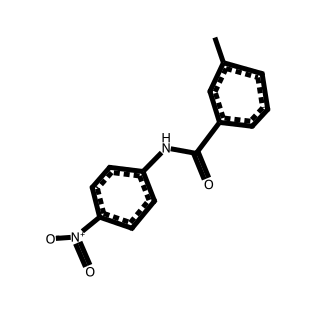 Cc1cccc(C(=O)Nc2ccc([N+](=O)[O-])cc2)c1